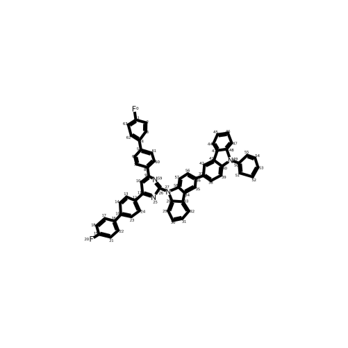 Fc1ccc(-c2ccc(-c3cc(-c4ccc(-c5ccc(F)cc5)cc4)nc(-n4c5ccccc5c5cc(-c6ccc7c(c6)c6ccccc6n7-c6ccccc6)ccc54)n3)cc2)cc1